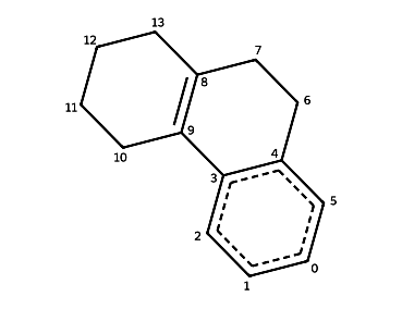 c1ccc2c(c1)CCC1=C2CCCC1